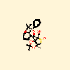 CC1(C)O[C@H]2C[S@@+]([O-])[C@](CO)(CO[Si](c3ccccc3)(c3ccccc3)C(C)(C)C)[C@@H]2O1